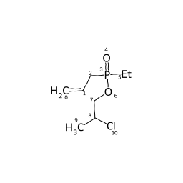 C=CCP(=O)(CC)OCC(C)Cl